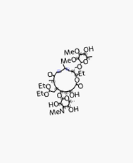 CCOC(C[C@H]1C[C@@H](C)C(=O)/C=C/C(C)=C/[C@H](COC2O[C@H](C)[C@@H](O)[C@@H](OC)[C@H]2OC)[C@@H](CC)OC(=O)C[C@@H](O)[C@H](C)[C@H]1O[C@@H]1O[C@H](C)[C@@H](O)[C@@H](NC)[C@H]1O)OCC